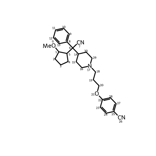 COC1CCCC1C(C#N)(c1ccccc1)C1CCN(CCCOc2ccc(C#N)cc2)CC1